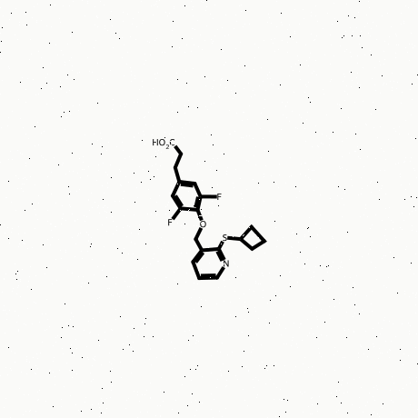 O=C(O)CCc1cc(F)c(OCc2cccnc2SC2CCC2)c(F)c1